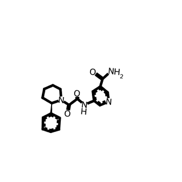 NC(=O)c1cncc(NC(=O)C(=O)N2CCCC[C@@H]2c2ccccc2)c1